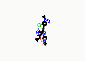 C=CC(=O)N1CC[C@H](n2nc(C#Cc3cc4ncn(C5CC5)c4cc3Cl)c3c(N)ncc(C(=O)C4CC4)c32)C1